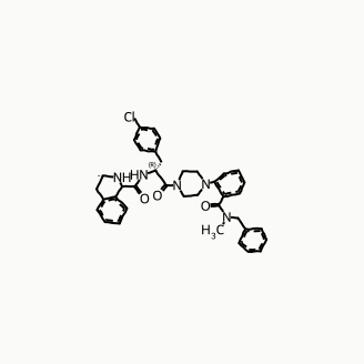 CN(Cc1ccccc1)C(=O)c1ccccc1N1CCN(C(=O)[C@@H](Cc2ccc(Cl)cc2)NC(=O)C2N[CH]Cc3ccccc32)CC1